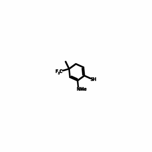 CNC1=CC(C)(C(F)(F)F)CC=C1S